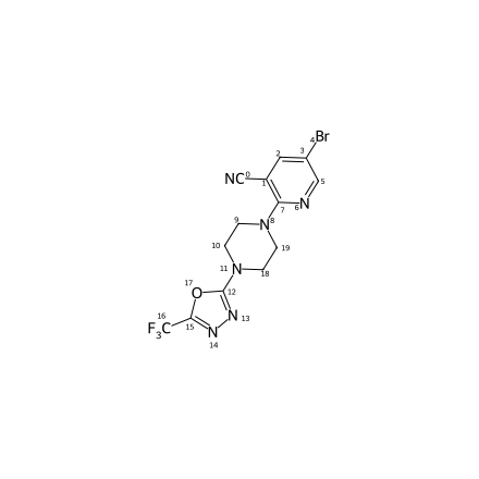 N#Cc1cc(Br)cnc1N1CCN(c2nnc(C(F)(F)F)o2)CC1